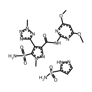 COc1cc(OC)nc(NC(=O)c2nn(C)c(S(N)(=O)=O)c2-c2nnn(C)n2)n1.NS(=O)(=O)c1ccn[nH]1